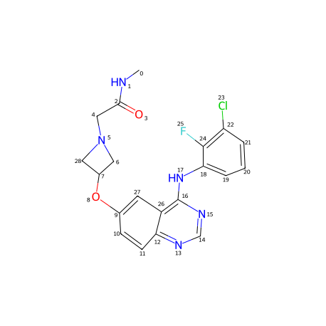 CNC(=O)CN1CC(Oc2ccc3ncnc(Nc4cccc(Cl)c4F)c3c2)C1